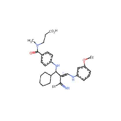 CCOc1cccc(N/C=C(\C(=N)CC)C(Nc2ccc(C(=O)N(C)CCC(=O)O)cc2)C2CCCCC2)c1